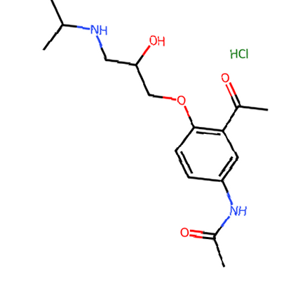 CC(=O)Nc1ccc(OCC(O)CNC(C)C)c(C(C)=O)c1.Cl